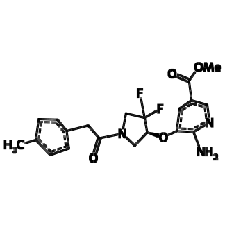 COC(=O)c1cnc(N)c(O[C@H]2CN(C(=O)Cc3ccc(C)cc3)CC2(F)F)c1